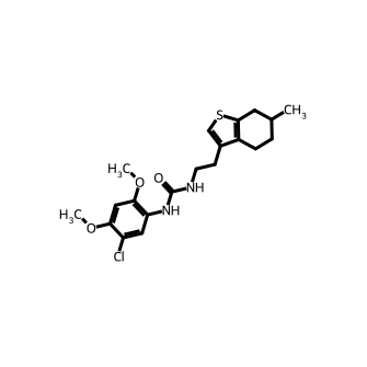 COc1cc(OC)c(NC(=O)NCCc2csc3c2CCC(C)C3)cc1Cl